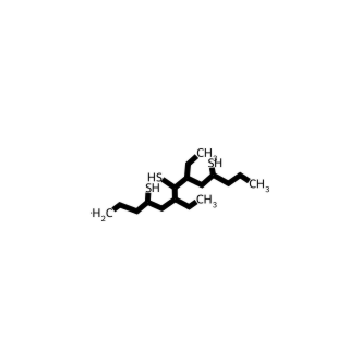 [CH2]CCC(S)CC(CC)C(S)C(CC)CC(S)CCC